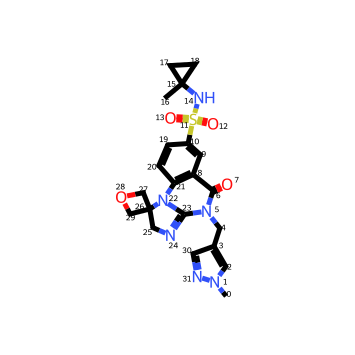 Cn1cc(CN2C(=O)c3cc(S(=O)(=O)NC4(C)CC4)ccc3N3C2=NCC32COC2)cn1